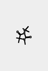 CN1C(=O)N([Si](C)(C)C)C(=O)C1(C)C